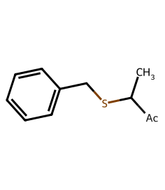 CC(=O)C(C)SCc1ccccc1